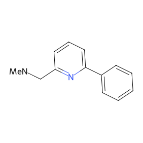 CNCc1cccc(-c2ccccc2)n1